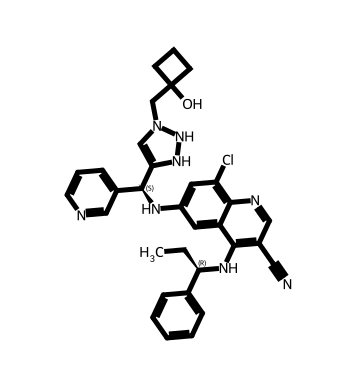 CC[C@@H](Nc1c(C#N)cnc2c(Cl)cc(N[C@H](C3=CN(CC4(O)CCC4)NN3)c3cccnc3)cc12)c1ccccc1